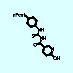 CCCCCc1ccc(NC(=S)NC(=O)c2ccc(O)nc2)cc1